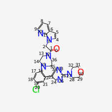 O=C(Cn1ccc2cccnc21)N1CCN(c2ccc(Cl)cc2-c2cnc(N3CCOCC3)nc2)CC1